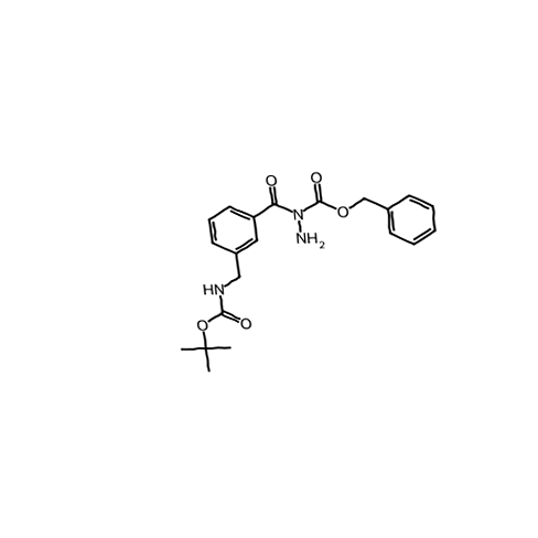 CC(C)(C)OC(=O)NCc1cccc(C(=O)N(N)C(=O)OCc2ccccc2)c1